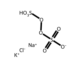 O=S(=O)([O-])OOS(=O)(=O)O.[Cl-].[K+].[Na+]